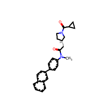 CN(C(=O)C[C@@H]1CCN(C(=O)C2CC2)C1)c1ccc(-c2ccc3ccccc3c2)cc1